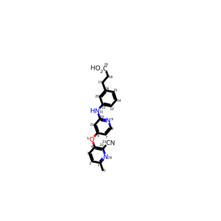 Cc1ccc(Oc2ccnc(Nc3cccc(CCC(=O)O)c3)c2)c(C#N)n1